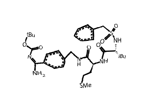 CC[C@@H](C)[C@@H](NS(=O)(=O)Cc1ccccc1)C(=O)N[C@@H](CCSC)C(=O)NCc1ccc(/C(N)=N\C(=O)OC(C)(C)C)cc1